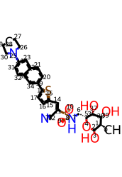 C[C@H]1C(O)O[C@H](CNS(=O)(=O)/C(C#N)=C/c2ccc(-c3ccc4cc(N5CCCCC5)ccc4c3)s2)[C@@H](O)[C@@H]1O